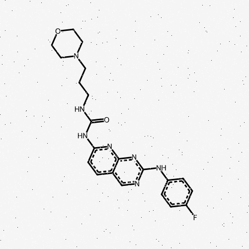 O=C(NCCCN1CCOCC1)Nc1ccc2cnc(Nc3ccc(F)cc3)nc2n1